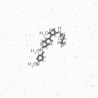 COc1ccc(CN(C)c2cc3ncc(-c4cc(Nc5ncc(C(F)(F)F)o5)cnc4C)cc3cn2)cc1